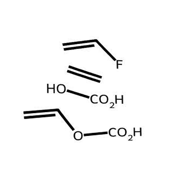 C=C.C=CF.C=COC(=O)O.O=C(O)O